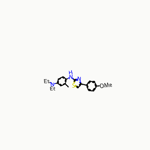 CCN(CC)c1ccc(Nc2nc(-c3ccc(OC)cc3)cs2)c(C)c1